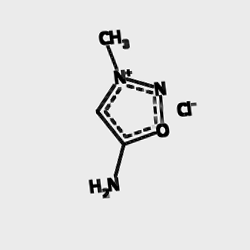 C[n+]1cc(N)on1.[Cl-]